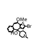 COC1=Cc2ccccc2C(O)(C2CCN(C)CC2)c2cc(Br)sc21